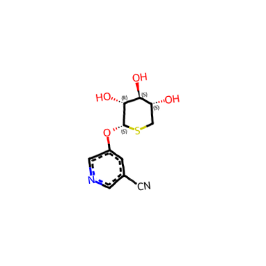 N#Cc1cncc(O[C@H]2SC[C@@H](O)[C@H](O)[C@H]2O)c1